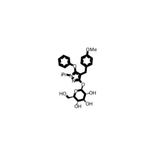 COc1ccc(Cc2c(O[C@@H]3O[C@H](CO)[C@@H](O)[C@H](O)[C@H]3O)nn(C(C)C)c2Oc2ccccc2)cc1